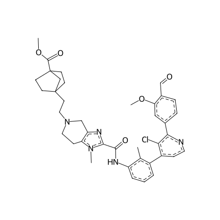 COC(=O)C12CCC(CCN3CCc4c(nc(C(=O)Nc5cccc(-c6ccnc(-c7ccc(C=O)c(OC)c7)c6Cl)c5C)n4C)C3)(CC1)C2